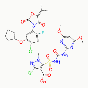 CC(C)=C1OC(=O)N(c2cc(OC3CCCC3)c(Cl)cc2F)C1=O.COc1cc(OC)nc(NC(=O)NS(=O)(=O)c2c(C(=O)O)c(Cl)nn2C)n1